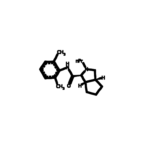 CCCN1C[C@@H]2CCC[C@@H]2[C@H]1C(=O)Nc1c(C)cccc1C